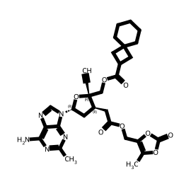 C#C[C@]1(COC(=O)C2CC3(CCCCC3)C2)O[C@@H](n2cnc3c(N)nc(C)nc32)C[C@@H]1CC(=O)OCc1oc(=O)oc1C